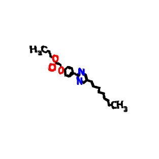 CCCCCCCCCc1cnc(-c2ccc(OCC(=O)OCCC)cc2)nc1